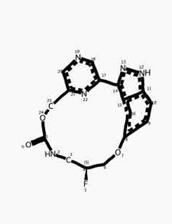 O=C1NC[C@H](F)COc2ccc3[nH]nc(c3c2)-c2cncc(n2)CO1